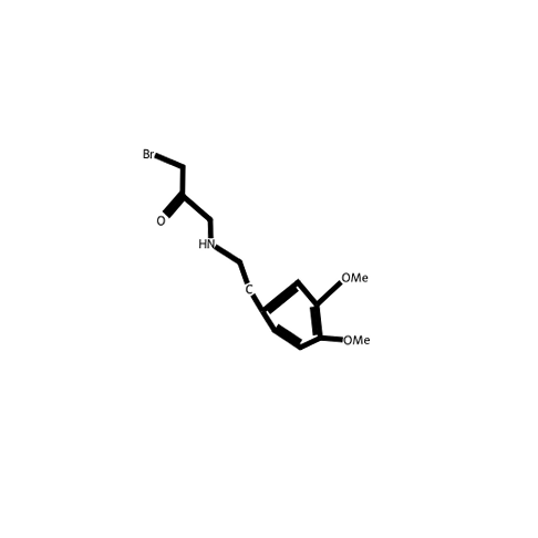 COc1ccc(CCNCC(=O)CBr)cc1OC